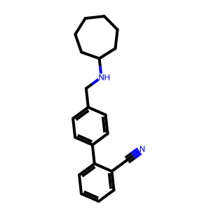 N#Cc1ccccc1-c1ccc(CNC2CCCCCC2)cc1